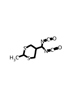 CC1SCC(C(N=C=O)N=C=O)CS1